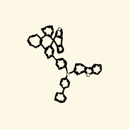 C1=CCC2=C(C=C1)c1ccccc1C1(c3cc(-c4ccc(N(c5ccc(-c6ccccc6)cc5)c5ccc6c(c5)oc5ccccc56)cc4)ccc32)c2ccccc2-c2ccccc21